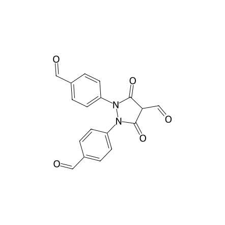 O=Cc1ccc(N2C(=O)C(C=O)C(=O)N2c2ccc(C=O)cc2)cc1